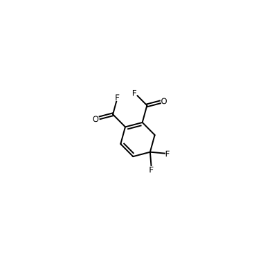 O=C(F)C1=C(C(=O)F)CC(F)(F)C=C1